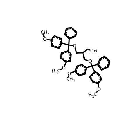 COc1ccc(C(OCC(CO)COC(c2ccccc2)(c2ccc(OC)cc2)c2ccc(OC)cc2)(c2ccccc2)c2ccc(OC)cc2)cc1